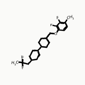 Cc1ccc(OCC2CCC(C3CCC(CC(C)(F)F)CC3)CC2)c(F)c1F